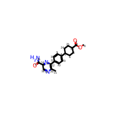 COC(=O)C1CCC(c2ccc(-c3nc(C(N)=O)cnc3C)cc2)CC1